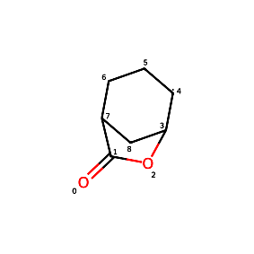 O=C1OC2[CH]CCC1C2